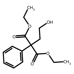 CCOC(=O)C(CCO)(C(=O)OCC)c1ccccc1